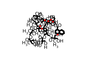 CC(C)(COC(=O)C(C)(CO)CO)C(=O)OCC(COC(=O)C(C)(COC(=O)C(C)(CO)CO)COC(=O)C(C)(CO)CO)(COC(=O)C(C)(COC(=O)C(C)(CO)CO)COC(=O)C(C)(CO)CO)COC(=O)C(C)(COC(=O)C(C)(CO)CO)COC(=O)C(C)(CO)COC(=O)c1cccc2ccccc12